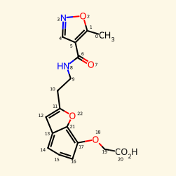 Cc1oncc1C(=O)NCCc1cc2cccc(OCC(=O)O)c2o1